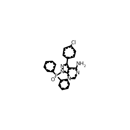 Nc1ncnc2c1c(-c1ccc(Cl)cc1)nn2P(=O)(c1ccccc1)c1ccccc1